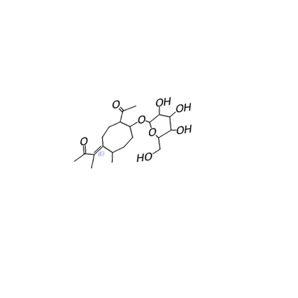 CC(=O)/C(C)=C1\CCC(C(C)=O)C(OC2OC(CO)C(O)C(O)C2O)CCC1C